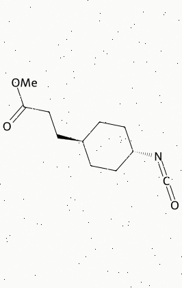 COC(=O)CC[C@H]1CC[C@H](N=C=O)CC1